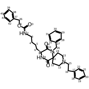 O=C(NCCCC[C@@H]1NC(=O)C2(CCN(CCc3ccccc3)CC2)N(Cc2ccccc2)C1=O)OCc1ccccc1